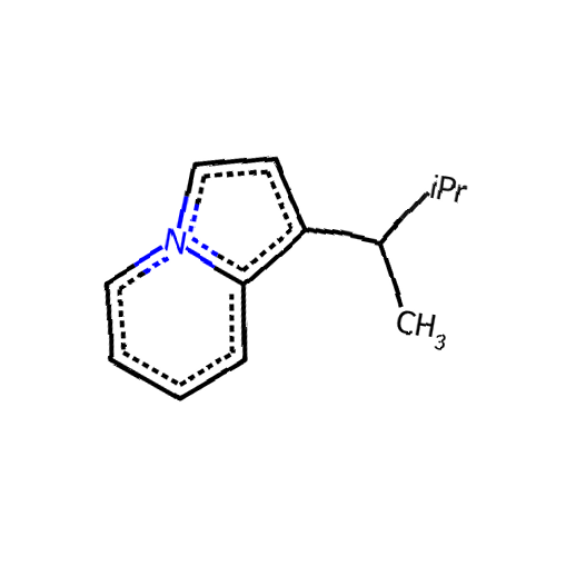 CC(C)C(C)c1ccn2ccccc12